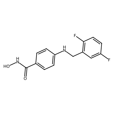 O=C(NO)c1ccc(NCc2cc(F)ccc2F)cc1